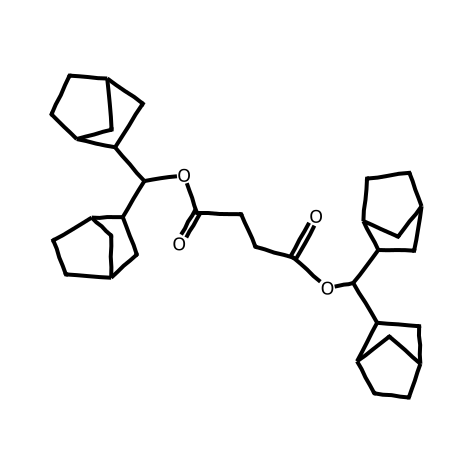 O=C(CCC(=O)OC(C1CC2CCC1C2)C1CC2CCC1C2)OC(C1CC2CCC1C2)C1CC2CCC1C2